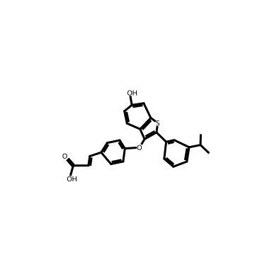 CC(C)c1cccc(-c2sc3cc(O)ccc3c2Oc2ccc(C=CC(=O)O)cc2)c1